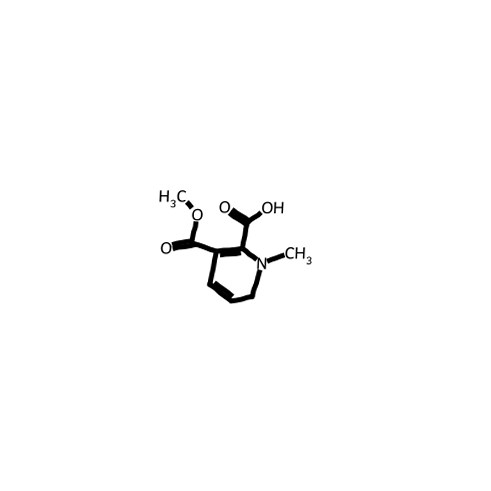 COC(=O)C1=C(C(=O)O)N(C)CC=C1